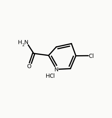 Cl.NC(=O)c1ccc(Cl)cn1